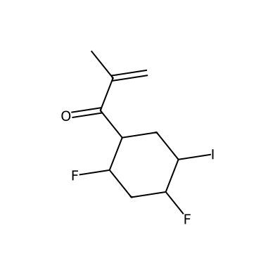 C=C(C)C(=O)C1CC(I)C(F)CC1F